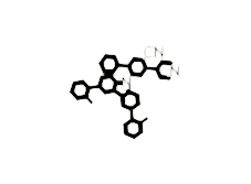 Cc1ccccc1-c1ccc2c(c1)c1cc(-c3ccccc3C)ccc1n2-c1cc(-c2ccncc2)c(C#N)cc1-c1ccccc1